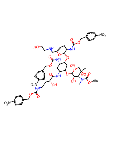 CN(C(=O)OC(C)(C)C)[C@@H]1[C@@H](O)[C@@H](O[C@@H]2[C@@H](O)[C@H](O[C@H]3OC(CNCCO)=CC[C@H]3NC(=O)OCc3ccc([N+](=O)[O-])cc3)[C@@H](NC(=O)OCc3ccc([N+](=O)[O-])cc3)C[C@H]2NC(=O)[C@H](O)CCNC(=O)OCc2ccc([N+](=O)[O-])cc2)OC[C@]1(C)O